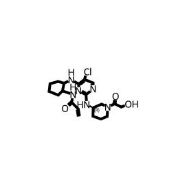 C=CC(=O)NC1CCCCC1Nc1nc(N[C@@H]2CCCN(C(=O)CO)C2)ncc1Cl